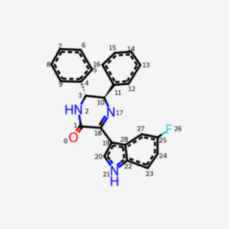 O=C1N[C@H](c2ccccc2)[C@@H](c2ccccc2)N=C1c1c[nH]c2ccc(F)cc12